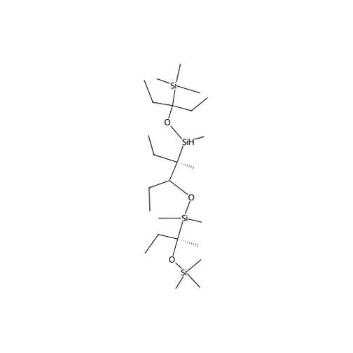 CCC(O[Si](C)(C)[C@](C)(CC)O[Si](C)(C)C)[C@@](C)(CC)[SiH](C)OC(CC)(CC)[Si](C)(C)C